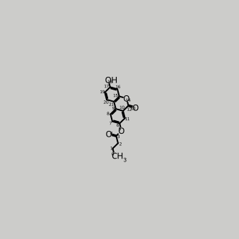 CCCC(=O)Oc1ccc2c(c1)c(=O)oc1cc(O)ccc12